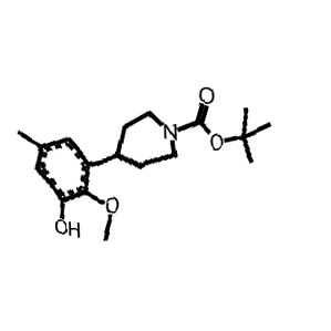 COc1c(O)cc(C)cc1C1CCN(C(=O)OC(C)(C)C)CC1